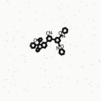 N#Cc1cc(-c2cc(-c3nc4ccccc4o3)cc(-c3nc4ccccc4o3)c2)cc(-c2ccc3c(c2)C2(c4ccccc4Oc4ccccc42)c2ccccc2-3)c1